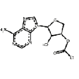 CCC(=O)OC1COC(n2cnc3c(N)ncnc32)C1O